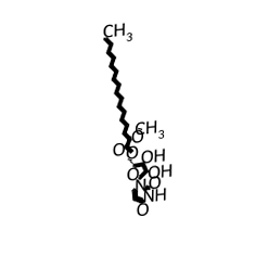 CCCCCCCCCCCCCCCCC(OC)C(=O)OC[C@H]1O[C@@H](n2ccc(=O)[nH]c2=O)[C@H](O)[C@@H]1O